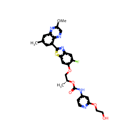 COc1cnc2c(-c3nc4cc(F)c(OC[C@@H](C)OC(=O)Nc5ccnc(OCCO)c5)cc4s3)cc(C)cc2n1